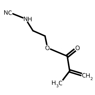 C=C(C)C(=O)OCCNC#N